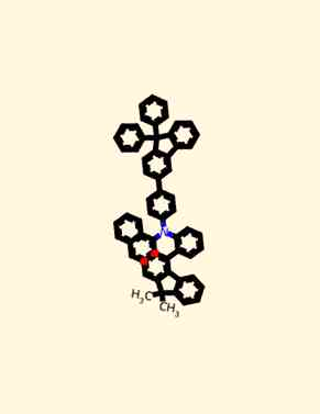 CC1(C)c2ccccc2-c2c(-c3ccccc3N(c3ccc(-c4ccc5c(c4)-c4ccccc4C5(c4ccccc4)c4ccccc4)cc3)c3cccc4ccccc34)cccc21